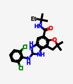 CCC(C)(C)NC(=O)c1cc2c(c3c1OC(C)(C)C3)NC(Nc1c(Cl)cccc1Cl)N2